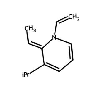 C=CN1C=CC=C(C(C)C)/C1=C/C